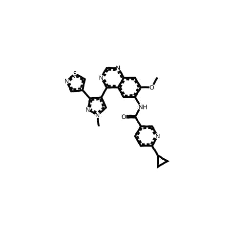 COc1cc2ncnc(-c3cn(C)nc3-c3cnsc3)c2cc1NC(=O)c1ccc(C2CC2)nc1